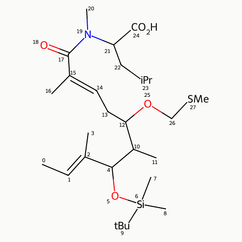 C/C=C(\C)C(O[Si](C)(C)C(C)(C)C)C(C)C(C/C=C(\C)C(=O)N(C)C(CC(C)C)C(=O)O)OCSC